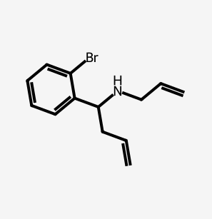 C=CCNC(CC=C)c1ccccc1Br